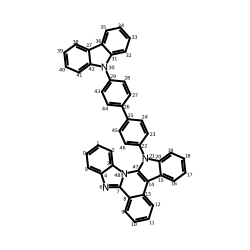 c1ccc2c(c1)nc1c3ccccc3c3c4ccccc4n(-c4ccc(-c5ccc(-n6c7ccccc7c7ccccc76)cc5)cc4)c3n21